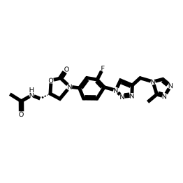 CC(=O)NC[C@H]1CN(c2ccc(-n3cc(Cn4cnnc4C)nn3)c(F)c2)C(=O)O1